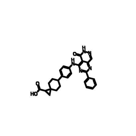 O=C(O)C1CC12CCC(c1ccc(Nc3nc(-c4ccccc4)nc4cn[nH]c(=O)c34)cc1)CC2